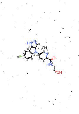 Cc1nc(C(=O)NCCO)ccc1-n1c2ccc(F)cc2c2[nH]ncc21